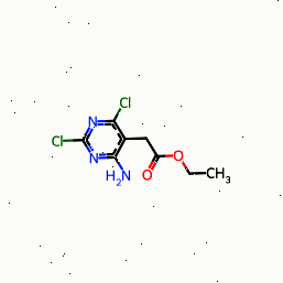 CCOC(=O)Cc1c(N)nc(Cl)nc1Cl